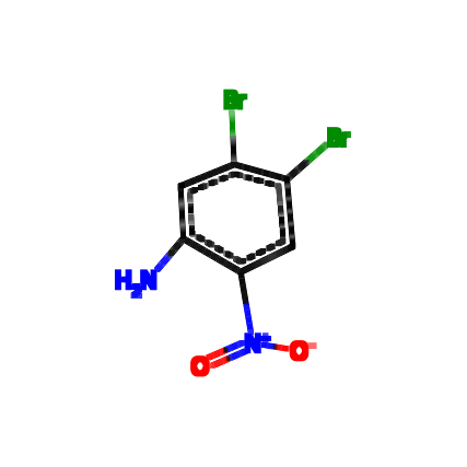 Nc1cc(Br)c(Br)cc1[N+](=O)[O-]